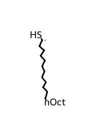 CCCCCCCCCCCCCCCCCCC[CH]S